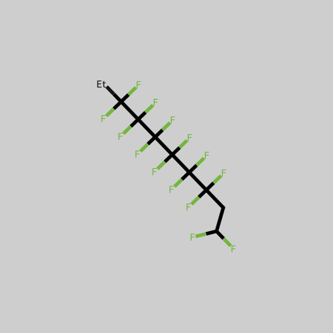 CCC(F)(F)C(F)(F)C(F)(F)C(F)(F)C(F)(F)C(F)(F)CC(F)F